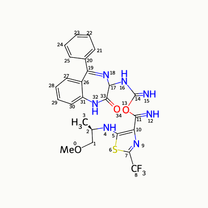 COC[C@@H](C)Nc1sc(C(F)(F)F)nc1C(=N)OC(=N)NC1N=C(c2ccccc2)c2ccccc2NC1=O